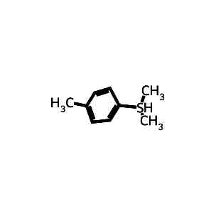 Cc1ccc([SH](C)C)cc1